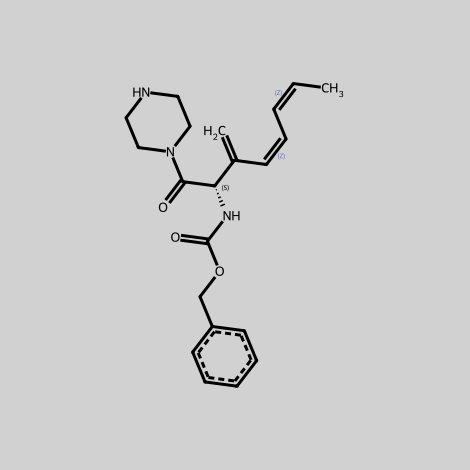 C=C(/C=C\C=C/C)[C@H](NC(=O)OCc1ccccc1)C(=O)N1CCNCC1